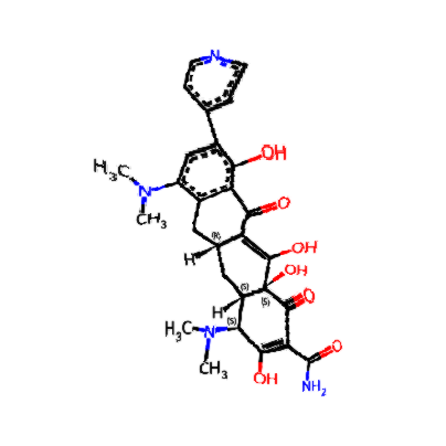 CN(C)c1cc(-c2ccncc2)c(O)c2c1C[C@H]1C[C@H]3[C@H](N(C)C)C(O)=C(C(N)=O)C(=O)[C@@]3(O)C(O)=C1C2=O